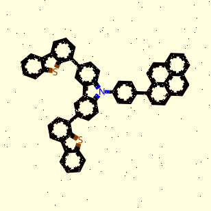 c1cc2ccc3ccc(-c4ccc(-n5c6ccc(-c7cccc8c7sc7ccccc78)cc6c6cc(-c7cccc8c7sc7ccccc78)ccc65)cc4)c4ccc(c1)c2c34